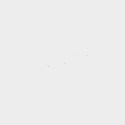 O=C(Cc1ccc(C(F)(F)F)cc1)Nc1ccc(=O)n(-c2ccccc2)c1